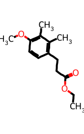 CCOC(=O)CCc1ccc(OC)c(C)c1C